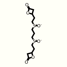 O=C1CC(CC[S+]([O-])CCC[S+]([O-])CCC2CC(=O)O2)O1